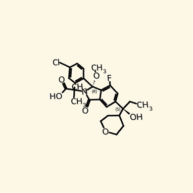 CC[C@@](O)(c1cc(F)c2c(c1)C(=O)N(C(C)(C)C(=O)O)[C@@]2(OC)c1ccc(Cl)cc1)C1CCOCC1